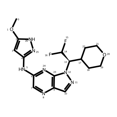 COc1cc(Nc2cnc3cnn([C@@H](C(F)F)C4CCOCC4)c3n2)n[nH]1